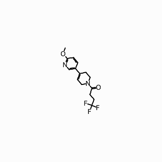 COc1ccc(C2=CCN(C(=O)CCC(F)(F)F)CC2)cn1